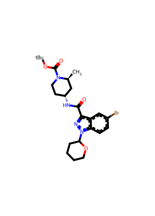 C[C@H]1C[C@H](NC(=O)c2nn(C3CCCCO3)c3ccc(Br)cc23)CCN1C(=O)OC(C)(C)C